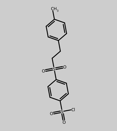 Cc1ccc(CCS(=O)(=O)c2ccc(S(=O)(=O)Cl)cc2)cc1